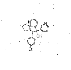 CCc1ccc(C(N2CCCC2)C(O)(c2cccnc2)c2cccnc2)cc1